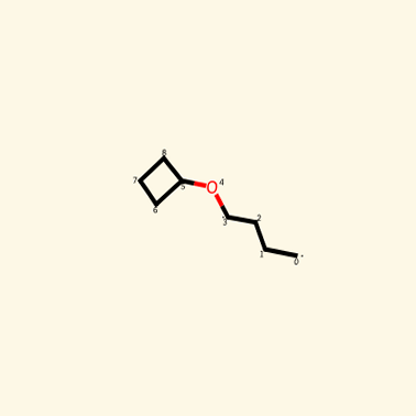 [CH2]CC[CH]OC1CCC1